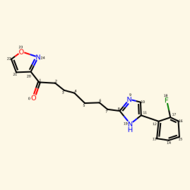 O=C(CCCCCCc1ncc(-c2ccccc2F)[nH]1)c1ccon1